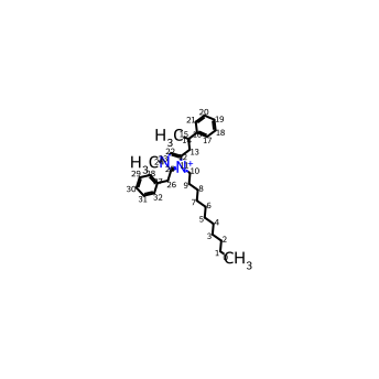 CCCCCCCCCCC[n+]1c(CC(C)c2ccccc2)cn(C)c1Cc1ccccc1